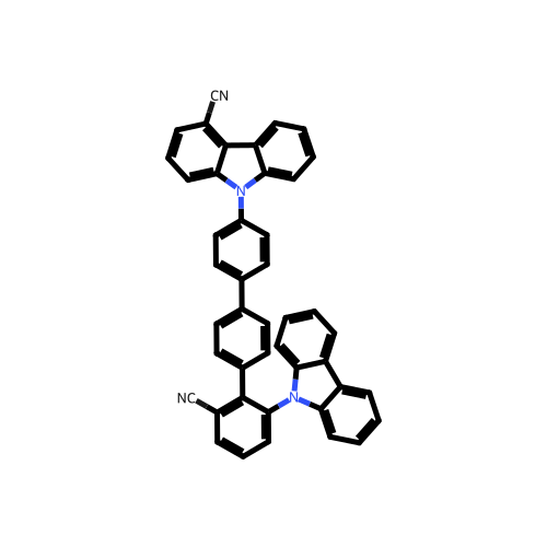 N#Cc1cccc(-n2c3ccccc3c3ccccc32)c1-c1ccc(-c2ccc(-n3c4ccccc4c4c(C#N)cccc43)cc2)cc1